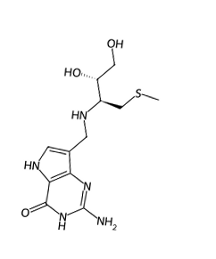 CSC[C@@H](NCc1c[nH]c2c(=O)[nH]c(N)nc12)[C@H](O)CO